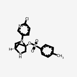 Cc1ccc(S(=O)(=O)O[C@]23CN[C@@H](CN2c2ccc(Cl)nc2)C3)cc1